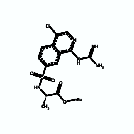 CCCCOC(=O)[C@H](C)NS(=O)(=O)c1ccc2c(Cl)cnc(NC(=N)N)c2c1